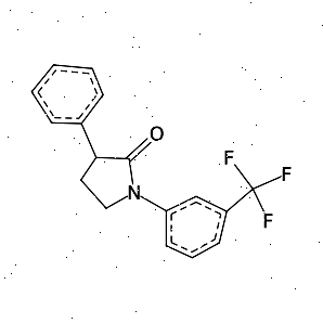 O=C1C(c2ccccc2)CCN1c1cccc(C(F)(F)F)c1